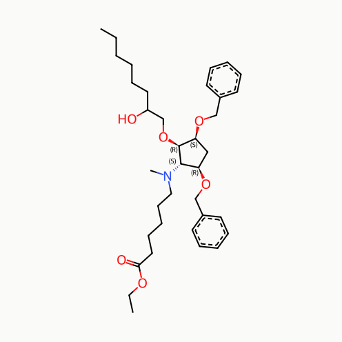 CCCCCCC(O)CO[C@@H]1[C@@H](N(C)CCCCCC(=O)OCC)[C@H](OCc2ccccc2)C[C@@H]1OCc1ccccc1